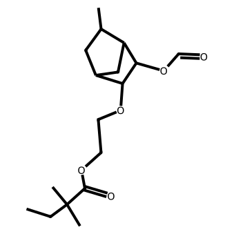 CCC(C)(C)C(=O)OCCOC1C2CC(C)C(C2)C1OC=O